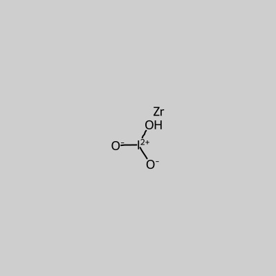 [O-][I+2]([O-])O.[Zr]